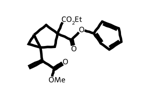 C=C(C(=O)OC)C12CC1CC(C(=O)OCC)(C(=O)Oc1ccccc1)C2